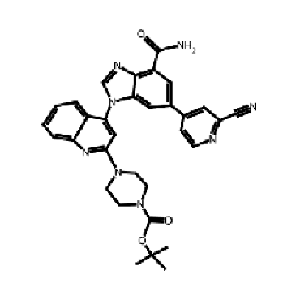 CC(C)(C)OC(=O)N1CCN(c2cc(-n3cnc4c(C(N)=O)cc(-c5ccnc(C#N)c5)cc43)c3ccccc3n2)CC1